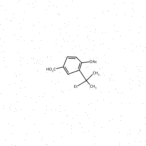 CCC(C)(C)c1cc(C(=O)O)ccc1OC(C)=O